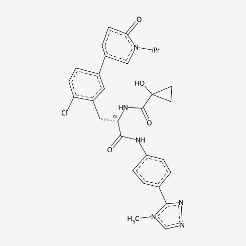 CC(C)n1cc(-c2ccc(Cl)c(C[C@H](NC(=O)C3(O)CC3)C(=O)Nc3ccc(-c4nncn4C)cc3)c2)ccc1=O